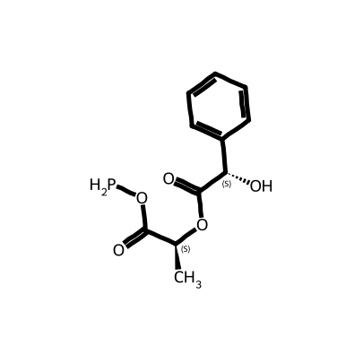 C[C@H](OC(=O)[C@@H](O)c1ccccc1)C(=O)OP